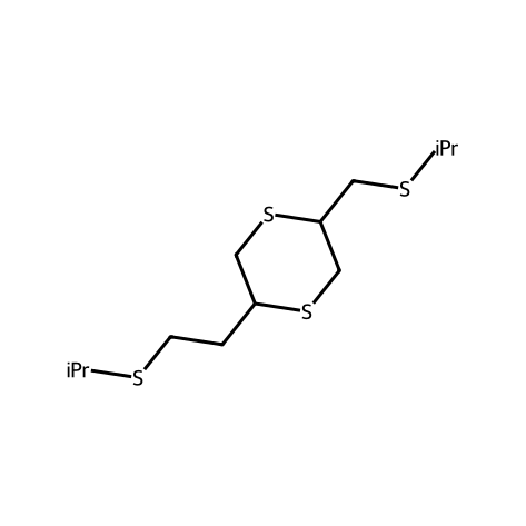 CC(C)SCCC1CSC(CSC(C)C)CS1